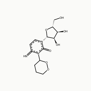 N=c1ccn([C@@H]2O[C@H](CO)[C@@H](O)[C@H]2O)c(=O)n1C1CCCOO1